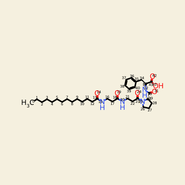 CCCCCCCCCCCCCC(=O)NCCC(=O)NCCC(=O)N1CCC[C@H]1C(=O)N[C@@H](Cc1ccccc1)C(=O)O